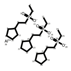 CCP(=O)([O-])CCC1CCCC1.CCP(=O)([O-])CCC1CCCC1.CCP(=O)([O-])CCC1CCCC1.[Al+3]